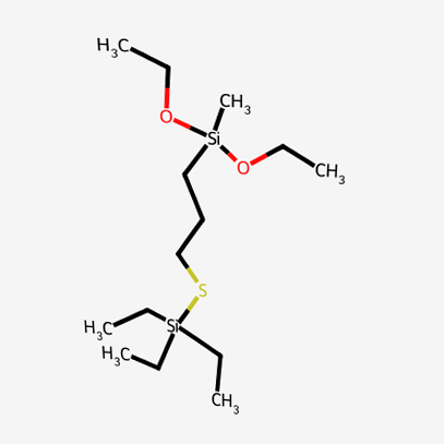 CCO[Si](C)(CCCS[Si](CC)(CC)CC)OCC